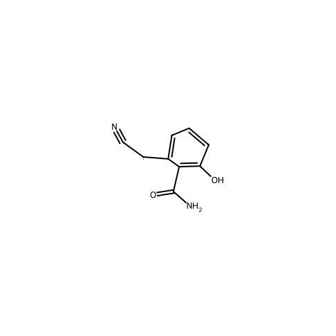 N#C[CH]c1cccc(O)c1C(N)=O